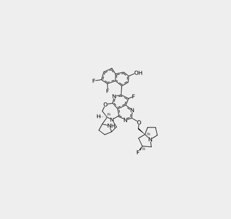 Oc1cc(-c2nc3c4c(nc(OC[C@@]56CCCN5C[C@@H](F)C6)nc4c2F)N2CC4CCC(N4)[C@H]2CO3)c2c(F)c(F)ccc2c1